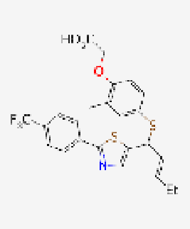 CC/C=C/C(Sc1ccc(OCC(=O)O)c(C)c1)c1cnc(-c2ccc(C(F)(F)F)cc2)s1